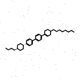 CCCCCCCCC1CC=C(c2ccc(-c3ccc([C@H]4CC[C@H](CCCC)CC4)cc3)cc2)CC1